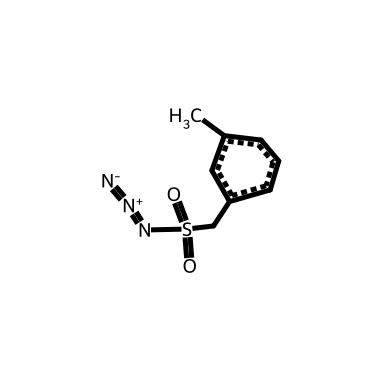 Cc1cccc(CS(=O)(=O)N=[N+]=[N-])c1